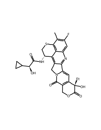 CC[C@@]1(O)C(=O)OCc2c1cc1n(c2=O)Cc2c-1nc1cc(F)c(C)c3c1c2[C@H](NC(=O)[C@@H](O)C1CC1)CS3